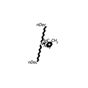 CCCCCCCCCCCCCCCCCCN(CCCCCCCCCCCCCCCCCC)C(N)=O.Cc1ccccc1C